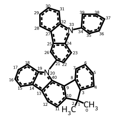 CC1(C)c2ccccc2-c2c1ccc1c3ccccc3n(-c3ccc4c(c3)c3ccccc3n4-c3ccccc3)c21